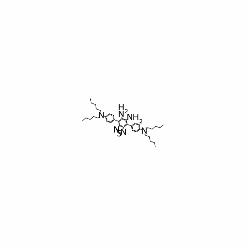 CCCCCN(CCCCC)c1ccc(-c2c(N)c(N)c(-c3ccc(N(CCCCC)CCCCC)cc3)c3nsnc23)cc1